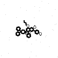 CCCCOc1cc(C2(O)CCC(c3ccccc3)(c3ccccc3)CC2)c(-c2ccccc2)c2cc(-c3ccc(OC)cc3)c(OC)cc12